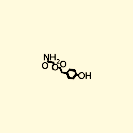 NC(=O)COC(=O)Cc1ccc(O)cc1